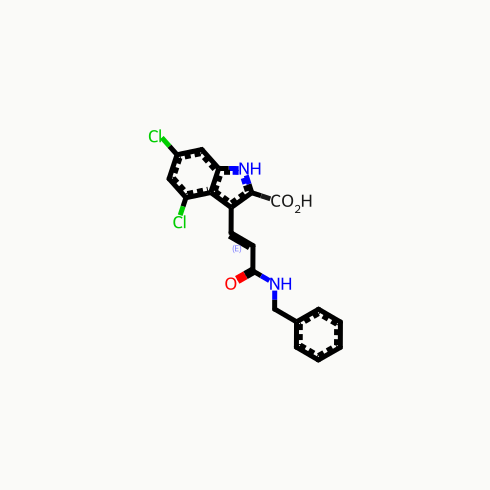 O=C(/C=C/c1c(C(=O)O)[nH]c2cc(Cl)cc(Cl)c12)NCc1ccccc1